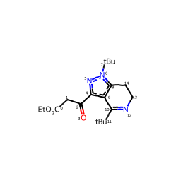 CCOC(=O)CC(=O)c1nn(C(C)(C)C)c2c1C(C(C)(C)C)=NCC2